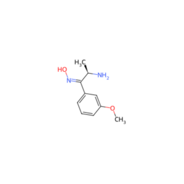 COc1cccc(C(=NO)[C@@H](C)N)c1